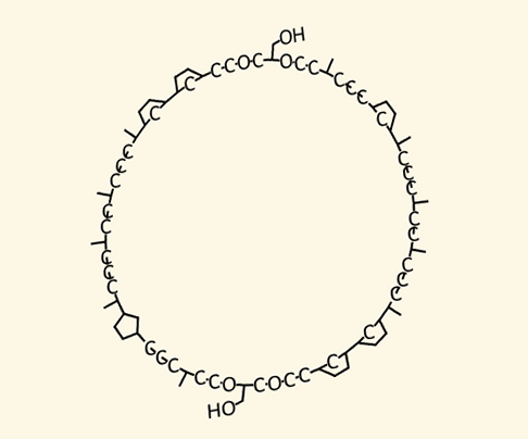 CC1CCCC2CCC(C2)C(C)CCCC(C)CCC(C)CCCC(C)C2CCC(C2)C2CCC(CCOCC(CO)OCCC(C)CCCC3CCC(C3)C(C)CCCC(C)CCC(C)CCCC(C)C3CCC(C3)C3CCC(CCOCC(CO)OCC1)C3)C2